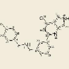 Cc1ccc(CNCc2cccc(-c3nc(Cl)c4n[nH]cc4n3)c2)cc1